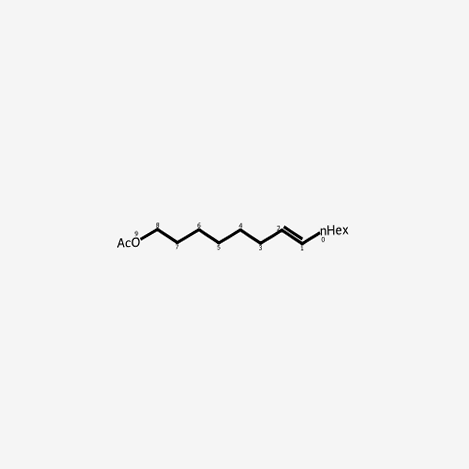 CCCCCC/C=C/CCCCCCOC(C)=O